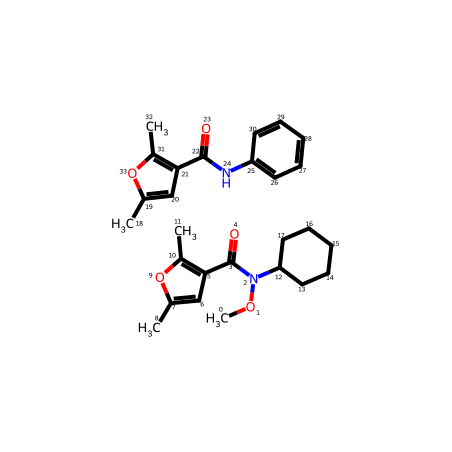 CON(C(=O)c1cc(C)oc1C)C1CCCCC1.Cc1cc(C(=O)Nc2ccccc2)c(C)o1